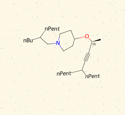 CCCCCC(C#C[C@H](C)OC1CCN(CC(CCCC)CCCCC)CC1)CCCCC